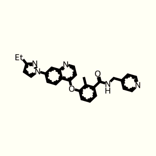 CCc1ccn(-c2ccc3c(Oc4cccc(C(=O)NCc5ccncc5)c4C)ccnc3c2)n1